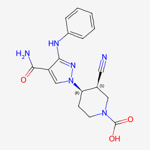 N#C[C@H]1CN(C(=O)O)CC[C@H]1n1cc(C(N)=O)c(Nc2ccccc2)n1